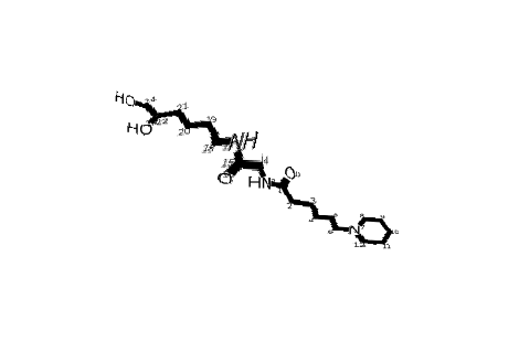 O=C(CCCCCN1CCCCC1)NCC(=O)NCCCCC(O)CO